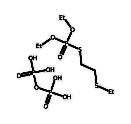 CCOP(=O)(OCC)SCCSCC.O=P(O)(O)OP(=O)(O)O